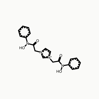 O=C(Cn1cc[n+](CC(=O)N(O)c2ccccc2)c1)N(O)c1ccccc1